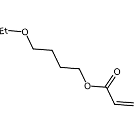 C=CC(=O)OCCCCOCC